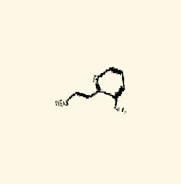 CCCCC=Cc1ncccc1N